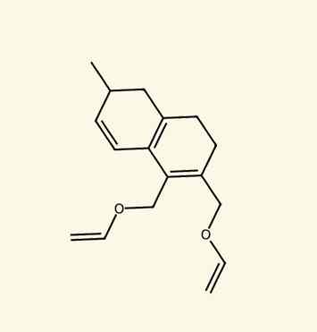 C=COCC1=C(COC=C)C2=C(CC1)CC(C)C=C2